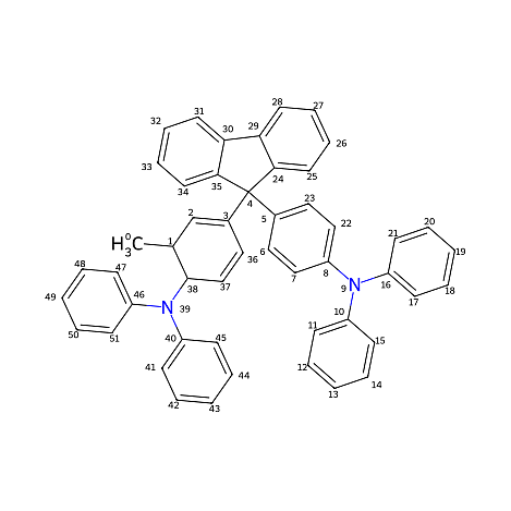 CC1C=C(C2(c3ccc(N(c4ccccc4)c4ccccc4)cc3)c3ccccc3-c3ccccc32)C=CC1N(c1ccccc1)c1ccccc1